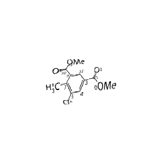 COC(=O)c1cc(Cl)c(C)c(C(=O)OC)c1